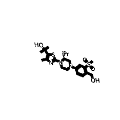 Cc1nc(N2CCN(c3ccc(CO)c(S(C)(=O)=O)c3)C[C@H]2C(C)C)sc1C(C)(C)O